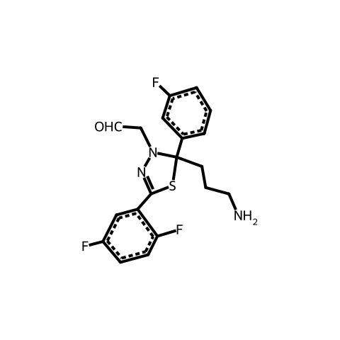 NCCCC1(c2cccc(F)c2)SC(c2cc(F)ccc2F)=NN1CC=O